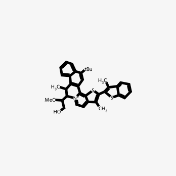 COC(CO)C1C(C)c2c(cc(C(C)(C)C)c3ccccc23)-c2c3sc(-c4sc5ccccc5c4C)c(C)c3cc[n+]21